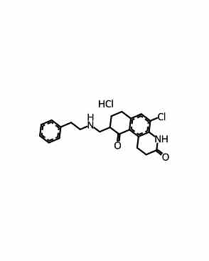 Cl.O=C1CCc2c(c(Cl)cc3c2C(=O)C(CNCCc2ccccc2)CC3)N1